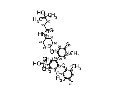 Cc1cc(F)cc(C)c1Oc1ccc(C(C)(C)O)cc1-c1cn(C)c(=O)cc1O[C@H]1CC[C@H](NC(=O)CCC(C)(C)O)CC1